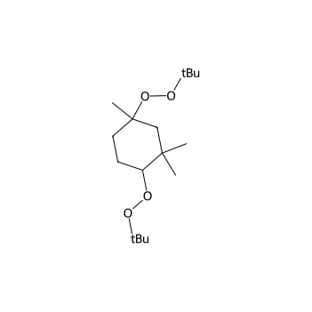 CC(C)(C)OOC1CCC(C)(OOC(C)(C)C)CC1(C)C